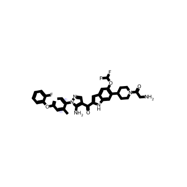 C=C(/C=C(C)\C(=C/C)n1ncc(C(=O)c2cc3cc(OC(F)F)c(C4CCN(C(=O)CN)CC4)cc3[nH]2)c1N)Oc1ccccc1F